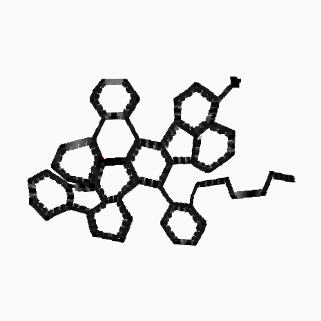 C=C/C=C\C=C/c1ccccc1-c1c2c(cc3c4ccccc4c4cccc2c43)c(-c2ccccc2-c2ccccc2)c2c3ccc(Br)c4cccc(c12)c43